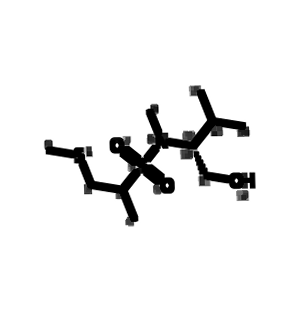 CSCC(C)S(=O)(=O)N(C)[C@@H](CO)C(C)C